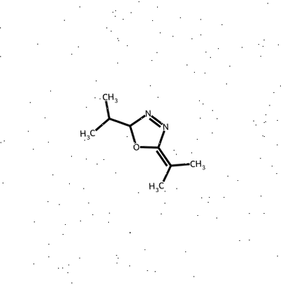 CC(C)=C1N=NC(C(C)C)O1